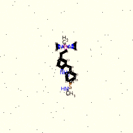 C=P(CCc1ccc(N)c(Cc2ccc(SNC)cc2)c1)(N1CC1)N1CC1